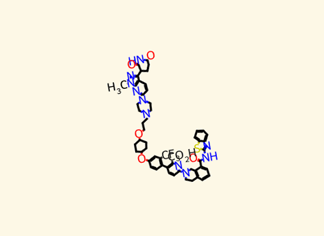 Cn1nc(C2CCC(=O)NC2=O)c2ccc(N3CCN(CCCOC4CCC(Oc5ccc(-c6ccc(N7CCc8cccc(C(=O)Nc9nc%10ccccc%10s9)c8C7)nc6C(=O)O)c(C(F)(F)F)c5)CC4)CC3)nc21